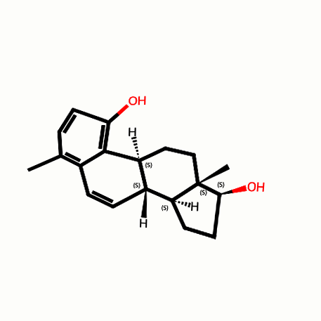 Cc1ccc(O)c2c1C=C[C@@H]1[C@@H]2CC[C@]2(C)[C@@H](O)CC[C@@H]12